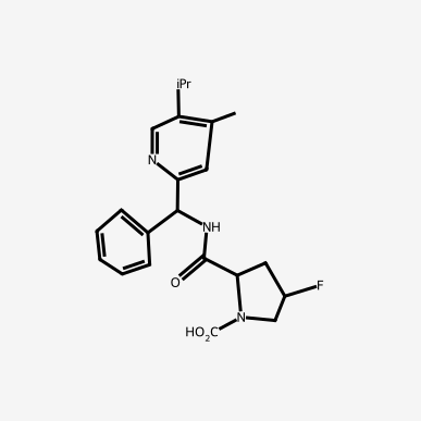 Cc1cc(C(NC(=O)C2CC(F)CN2C(=O)O)c2ccccc2)ncc1C(C)C